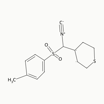 [C-]#[N+]C([C]1[CH]CSCC1)S(=O)(=O)c1ccc(C)cc1